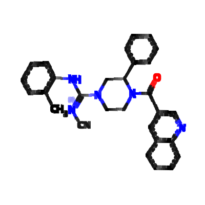 Cc1ccccc1N/C(=N/C#N)N1CCN(C(=O)c2cnc3ccccc3c2)C(c2ccccc2)C1